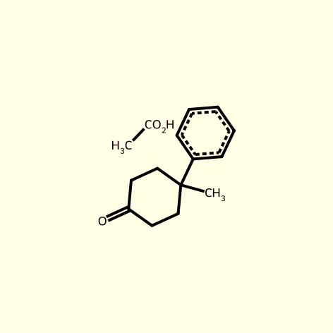 CC(=O)O.CC1(c2ccccc2)CCC(=O)CC1